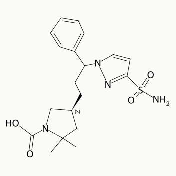 CC1(C)C[C@H](CCC(c2ccccc2)n2ccc(S(N)(=O)=O)n2)CN1C(=O)O